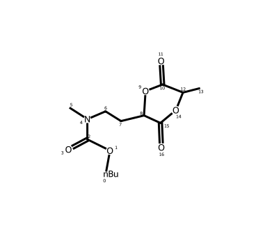 CCCCOC(=O)N(C)CCC1OC(=O)C(C)OC1=O